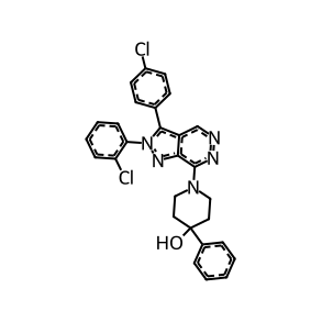 OC1(c2ccccc2)CCN(c2nncc3c(-c4ccc(Cl)cc4)n(-c4ccccc4Cl)nc23)CC1